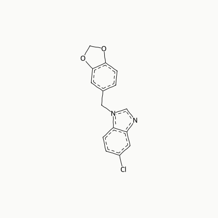 Clc1ccc2c(c1)ncn2Cc1ccc2c(c1)OCO2